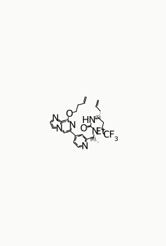 C=CCCOc1nc(-c2ccnc([C@@H](C)N(CC)C(=O)N[C@H](CC=C)CCC(F)(F)F)c2)cn2ccnc12